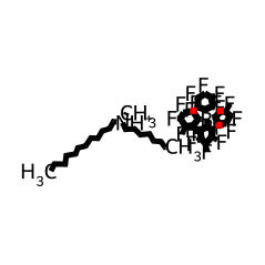 CCCCCCCCCCCC[NH+](C)CCCCCCCC.Fc1c(F)c(F)c([B-](c2c(F)c(F)c(F)c(F)c2F)(c2c(F)c(F)c(F)c(F)c2F)c2c(F)c(F)c(F)c(F)c2F)c(F)c1F